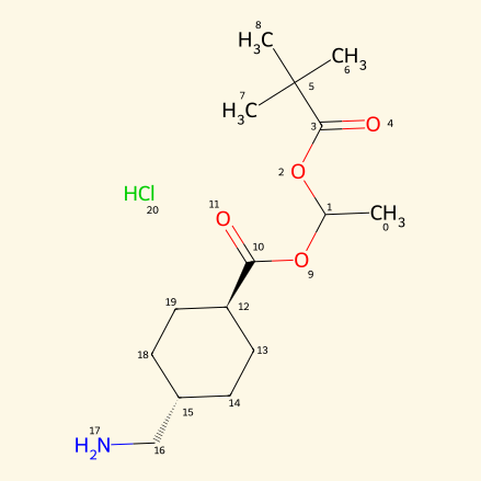 CC(OC(=O)C(C)(C)C)OC(=O)[C@H]1CC[C@H](CN)CC1.Cl